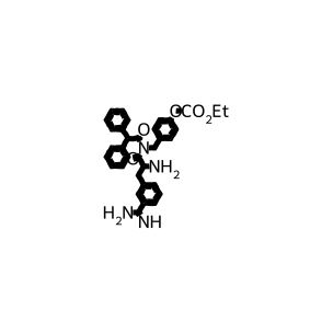 CCOC(=O)Oc1ccc(CN(C(=O)C(N)Cc2cccc(C(=N)N)c2)C(=O)C(c2ccccc2)c2ccccc2)cc1